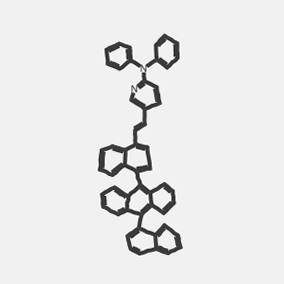 C(=C\c1ccc(-c2c3ccccc3c(-c3cccc4ccccc34)c3ccccc23)c2ccccc12)/c1ccc(N(c2ccccc2)c2ccccc2)nc1